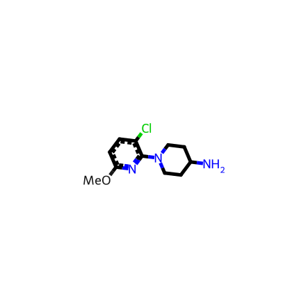 COc1ccc(Cl)c(N2CCC(N)CC2)n1